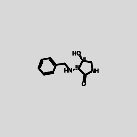 O=C1NC[C@H](O)[C@H]1NCc1ccccc1